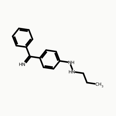 CCCNNc1ccc(C(=N)c2ccccc2)cc1